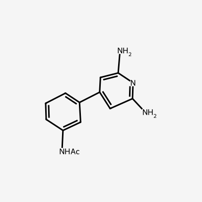 CC(=O)Nc1cccc(-c2cc(N)nc(N)c2)c1